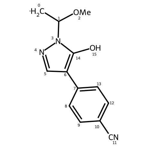 [CH2]C(OC)n1ncc(-c2ccc(C#N)cc2)c1O